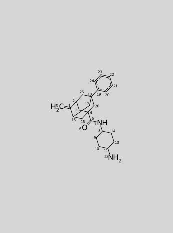 C=C1C2CC3(C(=O)NC4CCC(N)CC4)CC1CC(c1ccccc1)(C2)C3